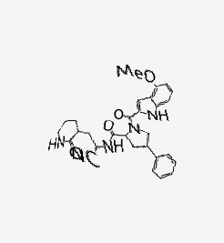 COc1cccc2[nH]c(C(=O)N3CC(c4ccccc4)CC3C(=O)NC(C#N)CC3CCCNC3=O)cc12